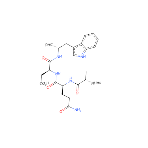 CC(=O)N[C@@H](C)C(=O)N[C@@H](CCC(N)=O)C(=O)N[C@@H](CC(=O)O)C(=O)N[C@H]([C]=O)Cc1c[nH]c2ccccc12